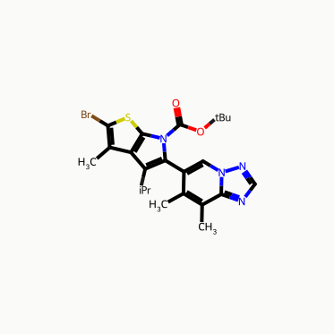 Cc1c(-c2c(C(C)C)c3c(C)c(Br)sc3n2C(=O)OC(C)(C)C)cn2ncnc2c1C